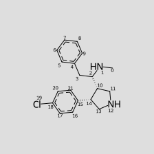 CNC(Cc1ccccc1)[C@@H]1CNC[C@@H]1c1ccc(Cl)cc1